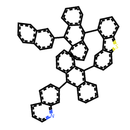 c1ccc2cc(-c3c4ccccc4c(-c4cccc5sc6ccc(-c7c8ccccc8c(-c8ccc9cccnc9c8)c8ccccc78)cc6c45)c4ccccc34)ccc2c1